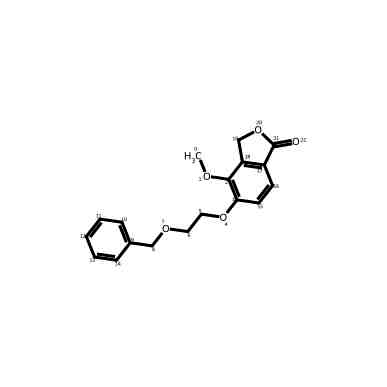 COc1c(OCCOCc2ccccc2)ccc2c1COC2=O